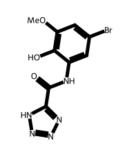 COc1cc(Br)cc(NC(=O)c2nnn[nH]2)c1O